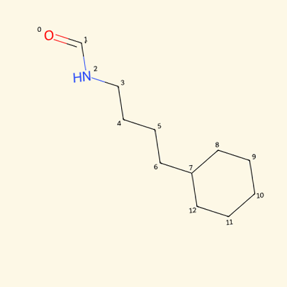 O=[C]NCCCCC1CCCCC1